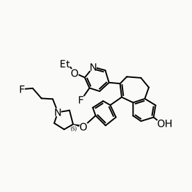 CCOc1ncc(C2=C(c3ccc(O[C@H]4CCN(CCCF)C4)cc3)c3ccc(O)cc3CCC2)cc1F